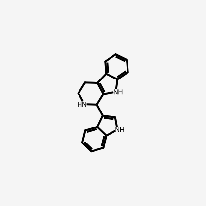 c1ccc2c(C3NCCc4c3[nH]c3ccccc43)c[nH]c2c1